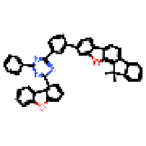 CC1(C)c2ccccc2-c2ccc3c(oc4cc(-c5cccc(-c6nc(-c7ccccc7)nc(-c7cccc8oc9ccccc9c78)n6)c5)ccc43)c21